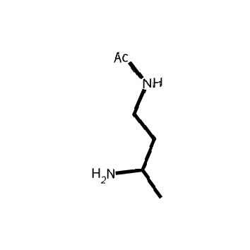 CC(=O)NCCC(C)N